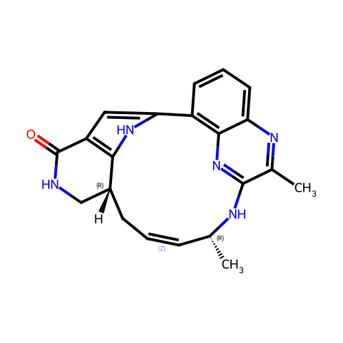 Cc1nc2cccc3c2nc1N[C@H](C)/C=C\C[C@@H]1CNC(=O)c2cc-3[nH]c21